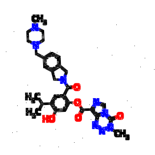 CC(C)c1cc(C(=O)N2Cc3ccc(CN4CCN(C)CC4)cc3C2)c(OC(=O)c2ncn3c(=O)n(C)nnc23)cc1O